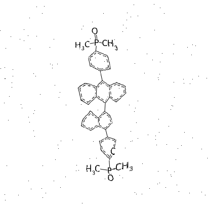 CP(C)(=O)c1ccc(-c2ccc(-c3c4ccccc4c(-c4ccc(P(C)(C)=O)cc4)c4ccccc34)c3ccccc23)cc1